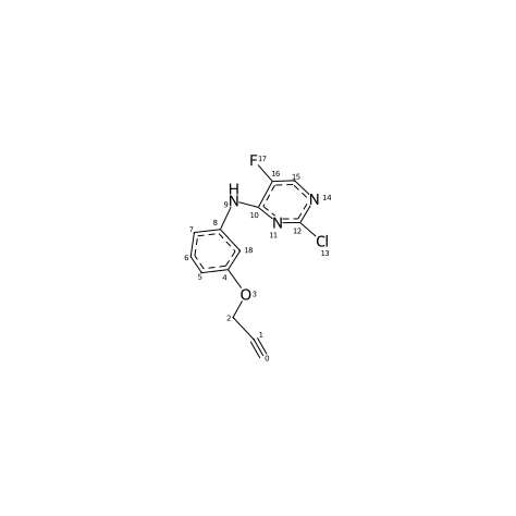 C#CCOc1cccc(Nc2nc(Cl)ncc2F)c1